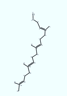 CCOCC=C(C)CC/C=C(\C)CC/C=C(\C)CCC=C(C)C